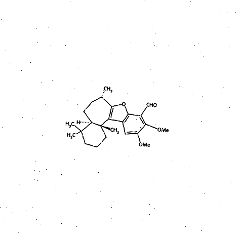 COc1cc2c3c(oc2c(C=O)c1OC)[C@@H](C)CC[C@@H]1C(C)(C)CCC[C@@]31C